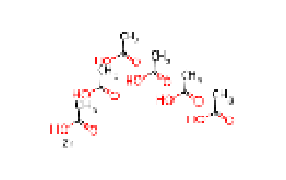 CC(=O)O.CC(=O)O.CC(=O)O.CC(=O)O.CC(=O)O.CC(=O)O.[Zn]